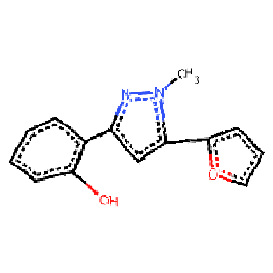 Cn1nc(-c2ccccc2O)cc1-c1ccco1